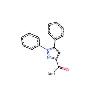 COC(=O)c1cc(-c2ccccc2)n(-c2ccccc2)n1